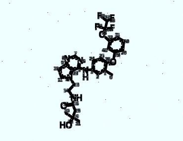 Cc1cc(Nc2ncnc3ccn(CCNC(=O)CC(C)(C)O)c23)ccc1Oc1cccc(OC(F)(F)C(F)F)c1